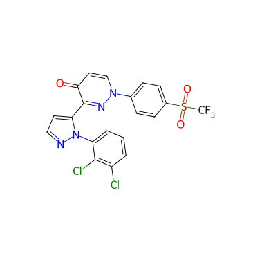 O=c1ccn(-c2ccc(S(=O)(=O)C(F)(F)F)cc2)nc1-c1ccnn1-c1cccc(Cl)c1Cl